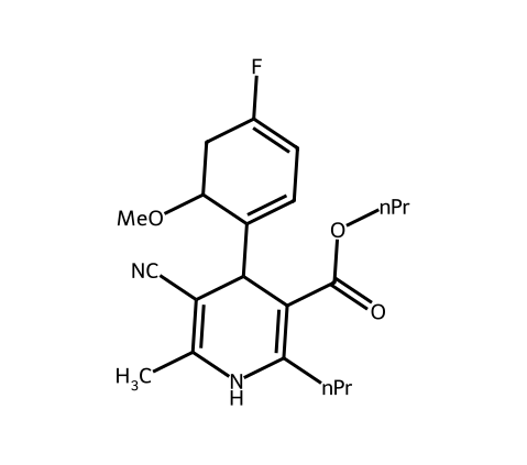 CCCOC(=O)C1=C(CCC)NC(C)=C(C#N)C1C1=CC=C(F)CC1OC